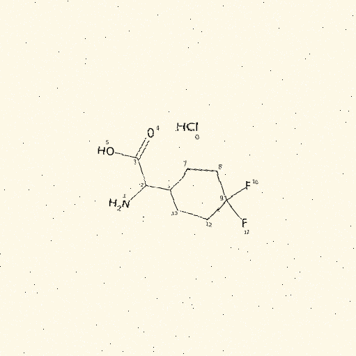 Cl.NC(C(=O)O)C1CCC(F)(F)CC1